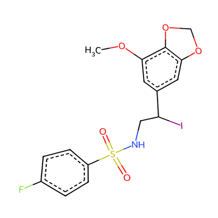 COc1cc(C(I)CNS(=O)(=O)c2ccc(F)cc2)cc2c1OCO2